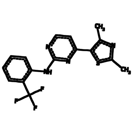 Cc1nc(C)c(-c2ccnc(Nc3ccccc3C(F)(F)F)n2)s1